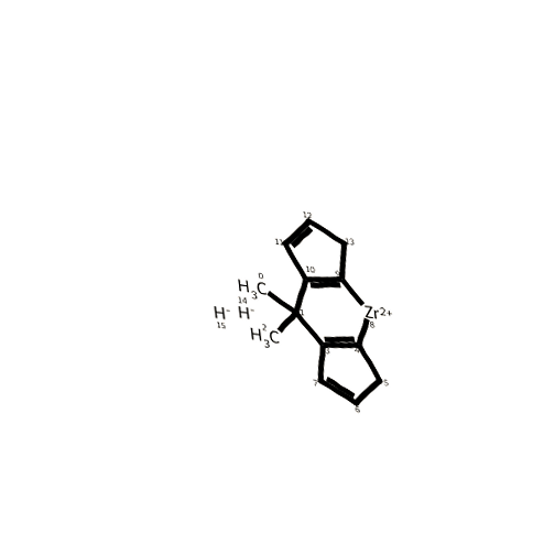 CC1(C)C2=[C](CC=C2)[Zr+2][C]2=C1C=CC2.[H-].[H-]